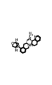 CN(C[C@H]1Cc2c(cccc2N2C[C@H]3C[C@@H]2CO3)CN1)[C@H]1CCCc2cccnc21